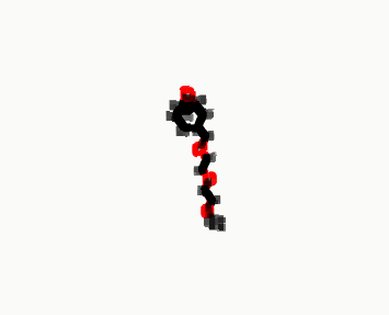 CCOCCOCCOCC1CCC2OC2(C)C1